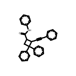 O=C(Nc1ccccc1)C1CC(c2ccccc2)(c2ccccc2)C1C#Cc1ccccc1